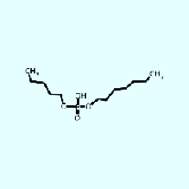 CCCCCCCOP(=O)(O)OCCCCC